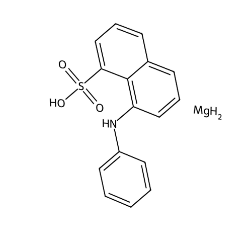 O=S(=O)(O)c1cccc2cccc(Nc3ccccc3)c12.[MgH2]